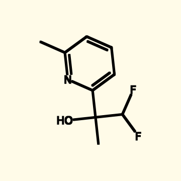 Cc1cccc(C(C)(O)C(F)F)n1